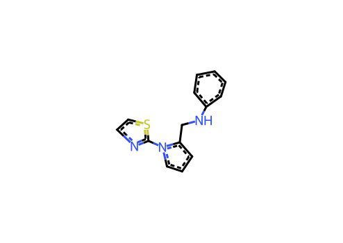 c1ccc(NCc2cccn2-c2nccs2)cc1